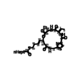 C/C=C1\NC(=O)c2csc(n2)CNC(=O)C[C@@H](/C=C/CCSC(=O)CCCCCCC)OC(=O)[C@H](CC)NC1=O